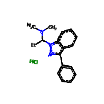 CCC(N(C)C)n1nc(-c2ccccc2)c2ccccc21.Cl